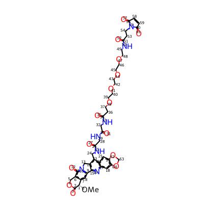 CO[C@@H]1C(=O)OCc2c1cc1n(c2=O)Cc2c-1nc1cc3c(cc1c2CNC(=O)CNC(=O)CNC(=O)CCOCCOCCOCCOCCNC(=O)CCN1C(=O)C=CC1=O)OCO3